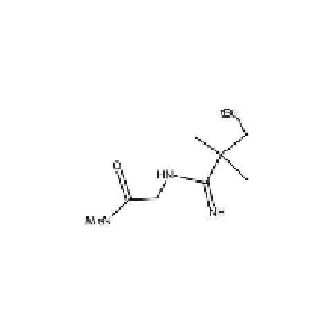 CNC(=O)CNC(=N)C(C)(C)CC(C)(C)C